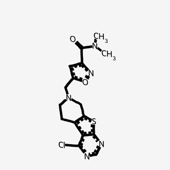 CN(C)C(=O)c1cc(CN2CCc3c(sc4ncnc(Cl)c34)C2)on1